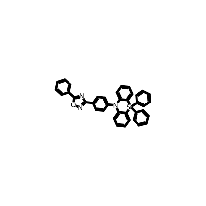 c1ccc(-c2nc(-c3ccc(N4c5ccccc5[Si](c5ccccc5)(c5ccccc5)c5ccccc54)cc3)no2)cc1